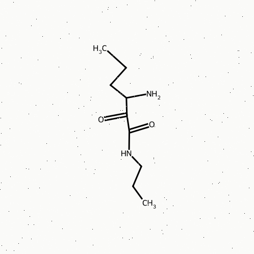 CCCNC(=O)C(=O)C(N)CCC